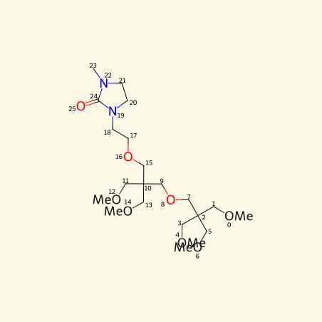 COCC(COC)(COC)COCC(COC)(COC)COCCN1CCN(C)C1=O